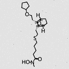 CN(O)C(=O)CCCCSCC[C@@H]1[C@H](CCOC2CCCC2)[C@@H]2CC[C@H]1O2